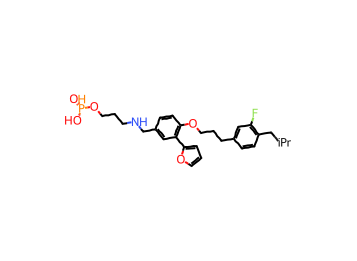 CC(C)Cc1ccc(CCCOc2ccc(CNCCCO[PH](=O)O)cc2-c2ccco2)cc1F